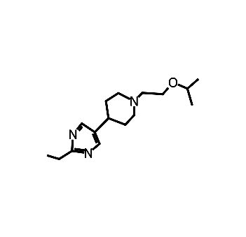 CCc1ncc(C2CCN(CCOC(C)C)CC2)cn1